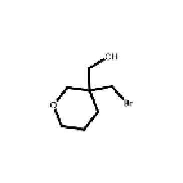 OCC1(CBr)CCCOC1